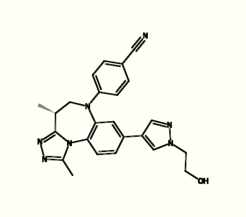 Cc1nnc2n1-c1ccc(-c3cnn(CCO)c3)cc1N(c1ccc(C#N)cc1)C[C@H]2C